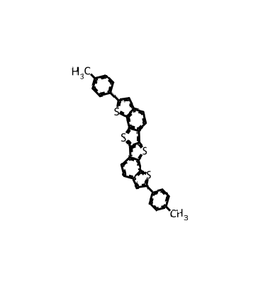 Cc1ccc(-c2cc3ccc4c(sc5c6ccc7cc(-c8ccc(C)cc8)sc7c6sc45)c3s2)cc1